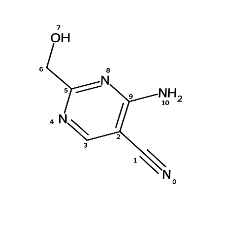 N#Cc1cnc(CO)nc1N